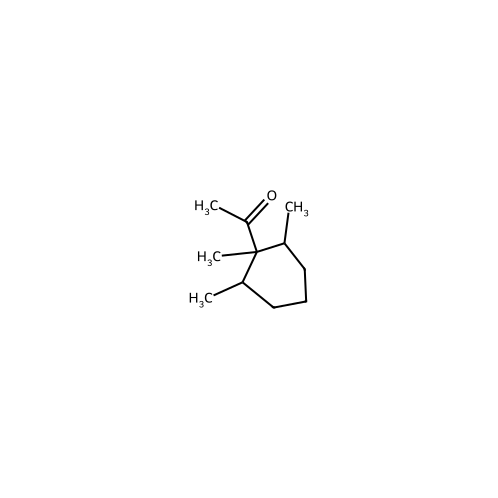 CC(=O)C1(C)C(C)CCCC1C